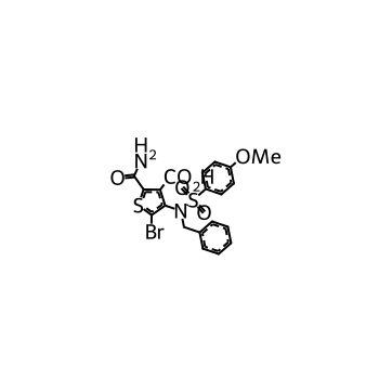 COc1ccc(S(=O)(=O)N(Cc2ccccc2)c2c(Br)sc(C(N)=O)c2C(=O)O)cc1